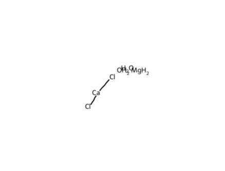 O.O.[Cl][Ca][Cl].[MgH2]